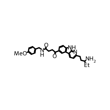 CCC(N)CCc1ccc2c(n1)[nH]c1ccc(C(=O)CCC(=O)NCc3ccc(OC)cc3)cc12